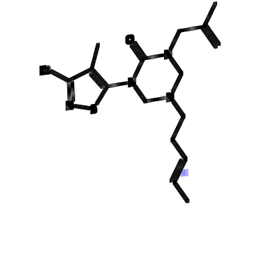 C=C(C)CN1CN(CC/C=C/C)CN(c2snc(CC)c2C)C1=O